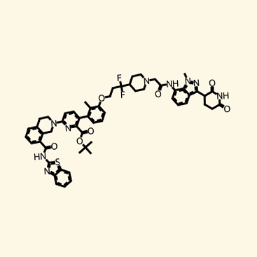 Cc1c(OCCC(F)(F)C2CCN(CC(=O)Nc3cccc4c(C5CCC(=O)NC5=O)nn(C)c34)CC2)cccc1-c1ccc(N2CCc3cccc(C(=O)Nc4nc5ccccc5s4)c3C2)nc1C(=O)OC(C)(C)C